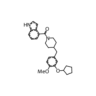 COc1ccc(CC2CCN(C(=O)c3cccc4[nH]ccc34)CC2)cc1OC1CCCC1